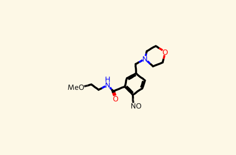 COCCNC(=O)c1cc(CN2CCOCC2)ccc1N=O